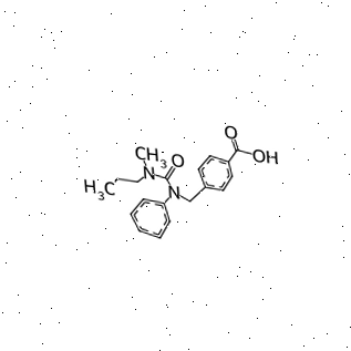 CCCN(C)C(=O)N(Cc1ccc(C(=O)O)cc1)c1ccccc1